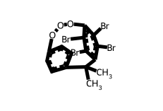 CC1(C)c2ccc(cc2)OOOc2c(Br)c(Br)c1c(Br)c2Br